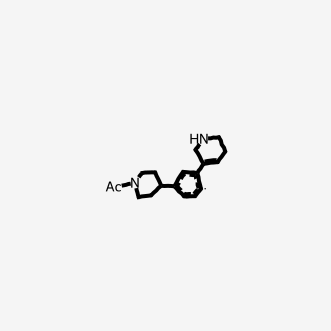 CC(=O)N1CCC(c2cc[c]c(C3=CCCNC3)c2)CC1